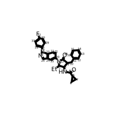 CCC1C(NC(=O)C2CC2)C(Cc2ccccc2)C(=O)N1c1ccc2c(cnn2-c2ccc(F)cc2)c1